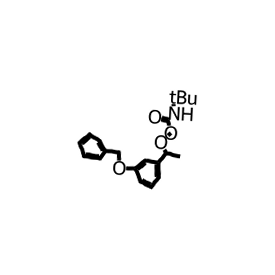 CC(OOC(=O)NC(C)(C)C)c1cccc(OCc2ccccc2)c1